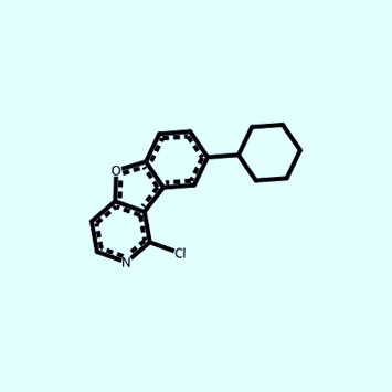 Clc1nccc2oc3ccc(C4CCCCC4)cc3c12